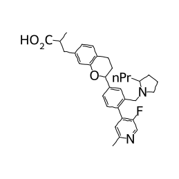 CCCC1CCCN1Cc1cc(C2CCc3ccc(CC(C)C(=O)O)cc3O2)ccc1-c1cc(C)ncc1F